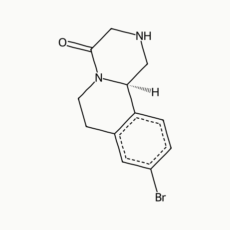 O=C1CNC[C@H]2c3ccc(Br)cc3CCN12